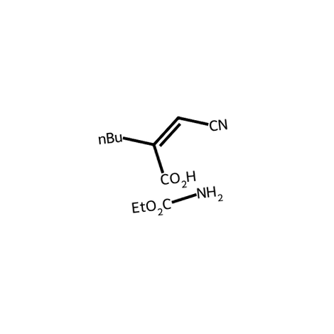 CCCCC(=CC#N)C(=O)O.CCOC(N)=O